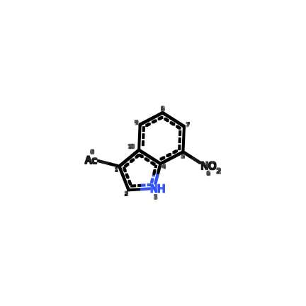 CC(=O)c1c[nH]c2c([N+](=O)[O-])cccc12